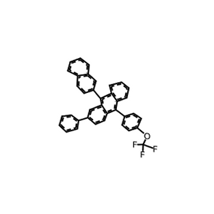 FC(F)(F)Oc1ccc(-c2c3ccccc3c(-c3ccc4ccccc4c3)c3cc(-c4ccccc4)ccc23)cc1